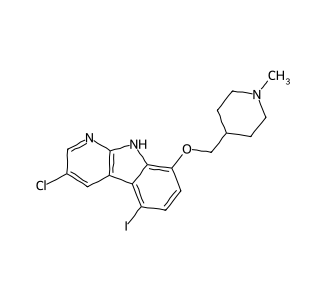 CN1CCC(COc2ccc(I)c3c2[nH]c2ncc(Cl)cc23)CC1